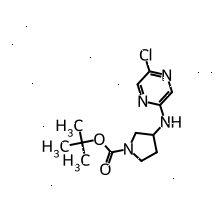 CC(C)(C)OC(=O)N1CCC(Nc2cnc(Cl)cn2)C1